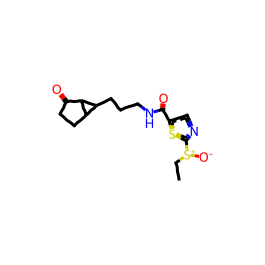 CC[S+]([O-])c1ncc(C(=O)NCCCC2C3CCC(=O)C23)s1